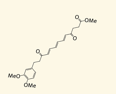 COC(=O)CCC(=O)/C=C/C=C/C=C/C(=O)CCc1ccc(OC)c(OC)c1